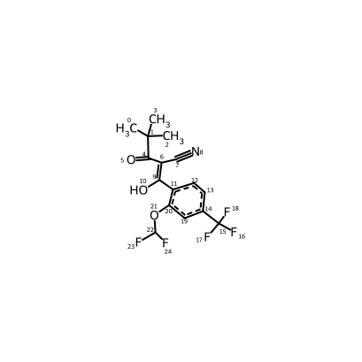 CC(C)(C)C(=O)/C(C#N)=C(\O)c1ccc(C(F)(F)F)cc1OC(F)F